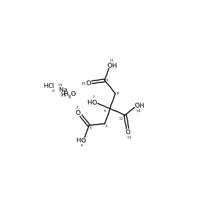 Cl.O.O=C(O)CC(O)(CC(=O)O)C(=O)O.[NaH]